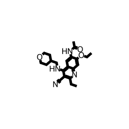 CCOc1cc2nc(CC)c(C#N)c(NCC3CCOCC3)c2cc1NC(C)=O